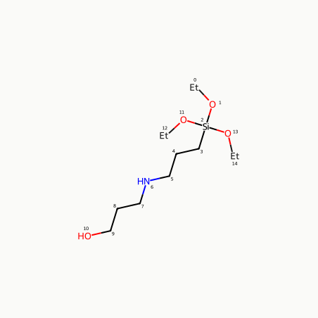 CCO[Si](CCCNCCCO)(OCC)OCC